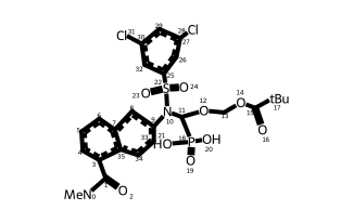 CNC(=O)c1cccc2cc(N(C(OCOC(=O)C(C)(C)C)P(=O)(O)O)S(=O)(=O)c3cc(Cl)cc(Cl)c3)ccc12